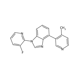 Cc1ccncc1-c1cccc2c1ncn2-c1ncccc1F